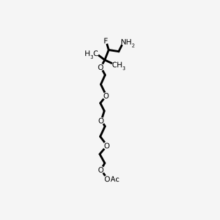 CC(=O)OOCCOCCOCCOCCOC(C)(C)C(F)CN